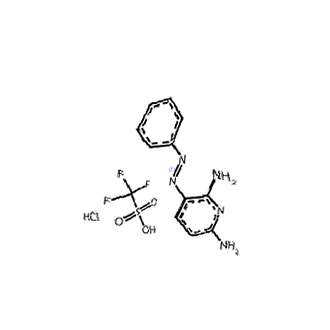 Cl.Nc1ccc(/N=N/c2ccccc2)c(N)n1.O=S(=O)(O)C(F)(F)F